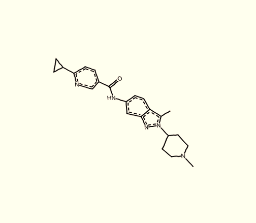 Cc1c2ccc(NC(=O)c3ccc(C4CC4)nc3)cc2nn1C1CCN(C)CC1